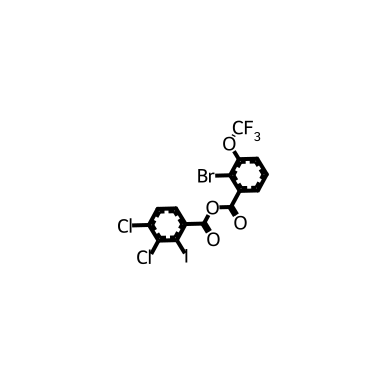 O=C(OC(=O)c1ccc(Cl)c(Cl)c1I)c1cccc(OC(F)(F)F)c1Br